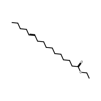 CCCCC=CCCCCCCCCCC(=O)OCC